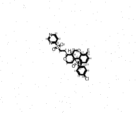 O=S(=O)(CC[C@@H]1OCC[C@@]2(S(=O)(=O)c3ccc(Cl)cc3)c3c(F)ccc(F)c3OC[C@@H]12)c1ccncn1